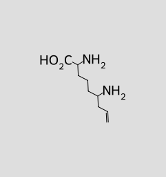 C=CCC(N)CCCC(N)C(=O)O